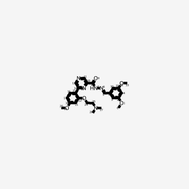 COc1cc(/C=N/NC(=O)c2cncc(-c3ccc(OC)cc3OCCN(C)C)n2)cc(OC)c1